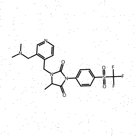 CC1C(=O)N(c2ccc(S(=O)(=O)C(F)(F)F)cc2)C(=O)N1Cc1ccncc1CN(C)C